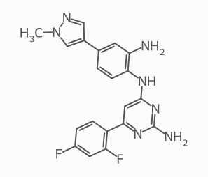 Cn1cc(-c2ccc(Nc3cc(-c4ccc(F)cc4F)nc(N)n3)c(N)c2)cn1